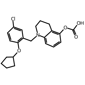 O=C(O)Oc1cccc2c1CCCN2Cc1cc(Cl)ccc1OC1CCCC1